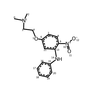 CN(C)CCOc1ccc([N+](=O)[O-])c(Nc2ccccc2)c1